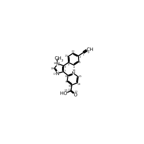 C#Cc1ccc(-c2c(-c3cc(C(=O)O)ccn3)ncn2C)cc1